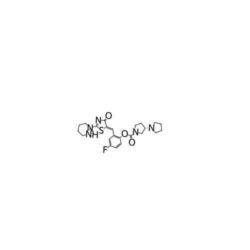 O=C1N=C(N2CCCCN2)S/C1=C\c1cc(F)ccc1OC(=O)N1CC[C@H](N2CCCC2)C1